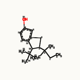 CCC(C)(C)C1Cc2cc(O)ccc2C1C(C)(C)C